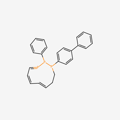 C1=C\C=P\P(c2ccccc2)P(c2ccc(-c3ccccc3)cc2)CC/C=C/1